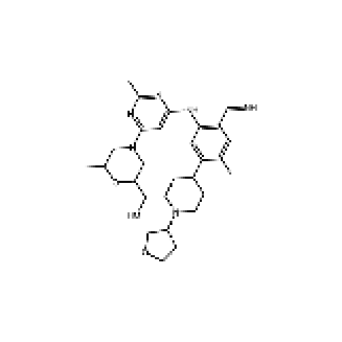 Cc1nc(Nc2cc(C3CCN(C4CCOC4)CC3)c(C)cc2C=N)cc(N2CC(C)OC(CO)C2)n1